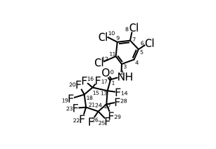 O=C(Nc1cc(Cl)c(Cl)c(Cl)c1Cl)C1(F)C(F)(F)C(F)(F)C(F)(F)C(F)(F)C1(F)F